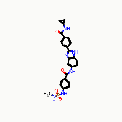 CNS(=O)(=O)Nc1ccc(C(=O)Nc2ccc3[nH]c(-c4ccc(C(=O)NC5CC5)cc4)nc3c2)cc1